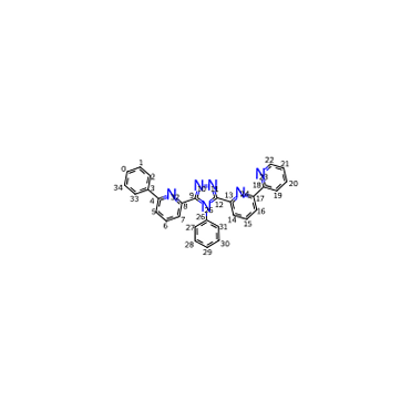 c1ccc(-c2cccc(-c3nnc(-c4cccc(-c5ccccn5)n4)n3-c3ccccc3)n2)cc1